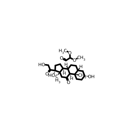 COC(C=O)OC.C[C@]12CC[C@@H](O)C[C@H]1CC[C@@H]1[C@@H]2C(=O)C[C@@]2(C)[C@H]1CC[C@]2(O)C(=O)CO